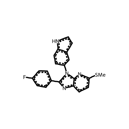 CSc1ccc2nc(-c3ccc(F)cc3)n(-c3ccc4[nH]ccc4c3)c2n1